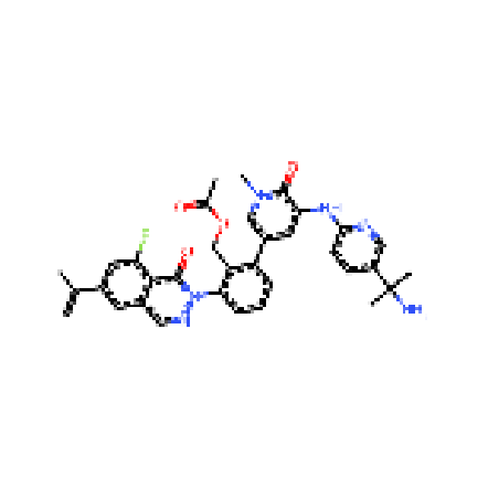 C=C(C)c1cc(F)c2c(=O)n(-c3cccc(-c4cc(Nc5ccc(C(C)(C)N)cn5)c(=O)n(C)c4)c3COC(C)=O)ncc2c1